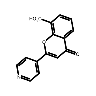 O=C(O)c1cccc2c(=O)cc(-c3ccncc3)oc12